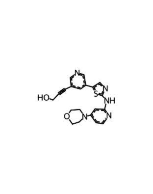 OCC#Cc1cncc(-c2cnc(Nc3cc(N4CCOCC4)ccn3)s2)c1